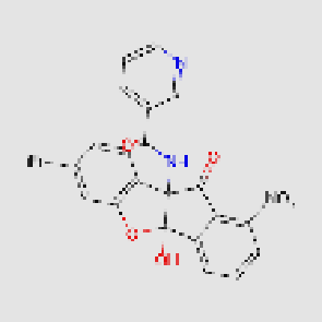 CC(C)c1ccc2c(c1)OC1(O)c3cccc([N+](=O)[O-])c3C(=O)C21NC(=O)c1cccnc1